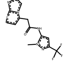 Cn1nc(C(F)(F)F)cc1NC(=O)Cc1cccc2nccn12